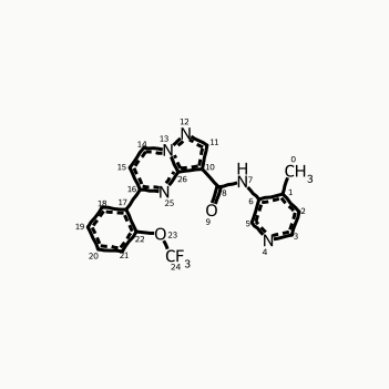 Cc1ccncc1NC(=O)c1cnn2ccc(-c3ccccc3OC(F)(F)F)nc12